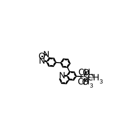 CC(C)(c1cc(-c2cccc(-c3ccc4nonc4c3)c2)c2ncccc2c1)S(C)(=O)=O